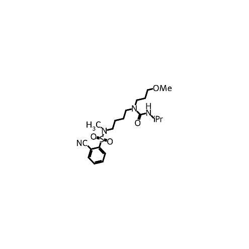 COCCCN(CCCCN(C)S(=O)(=O)c1ccccc1C#N)C(=O)NC(C)C